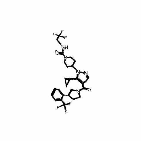 O=C(NCC(F)(F)F)N1CCC(n2ncc(C(=O)N3CC[C@@H](c4ccccc4C(F)(F)F)C3)c2C2CC2)CC1